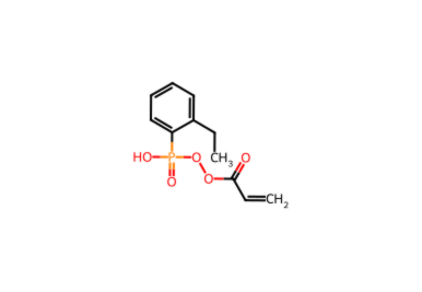 C=CC(=O)OOP(=O)(O)c1ccccc1CC